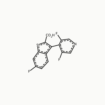 O=C(O)c1sc2cc(F)ccc2c1-c1c(F)cncc1F